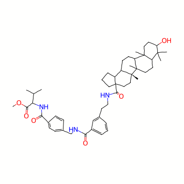 COC(=O)C(NC(=O)c1ccc(CNC(=O)c2cccc(CCNC(=O)C34CCCC3C3CCC5C6(C)CCC(O)C(C)(C)C6CCC5(C)[C@]3(C)CC4)c2)cc1)C(C)C